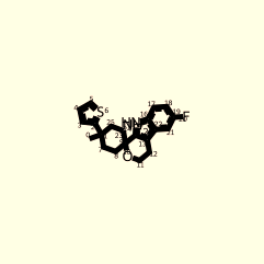 CC1(c2cccs2)CCC2(OCCc3c2[nH]c2ccc(F)cc32)C(N)C1